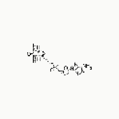 Nc1ncnc2c1ncn2[C@H]1CC[C@@H](COC(=O)CCCC[C@@H]2SC[C@@H]3NC(=O)N[C@@H]32)O1